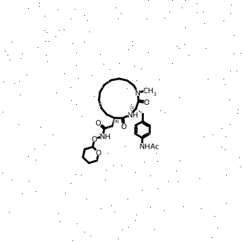 CC(=O)Nc1ccc(C[C@@H]2NC(=O)[C@@H](CC(=O)NOC3CCCCO3)CCCCCCCCCN(C)C2=O)cc1